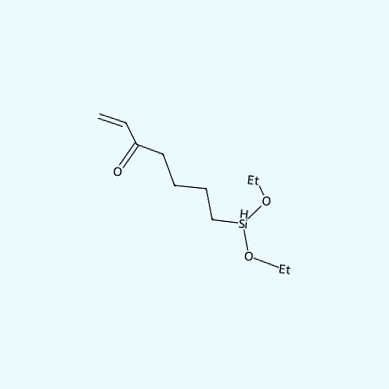 C=CC(=O)CCCC[SiH](OCC)OCC